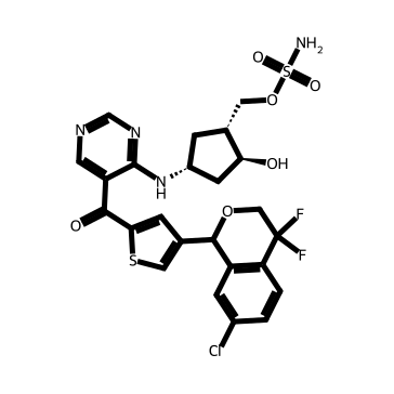 NS(=O)(=O)OC[C@H]1C[C@@H](Nc2ncncc2C(=O)c2cc(C3OCC(F)(F)c4ccc(Cl)cc43)cs2)C[C@@H]1O